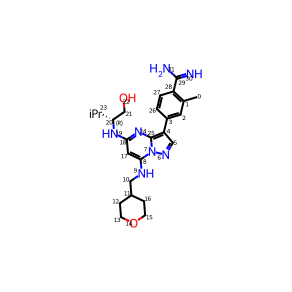 Cc1cc(-c2cnn3c(NCC4CCOCC4)cc(N[C@@H](CO)C(C)C)nc23)ccc1C(=N)N